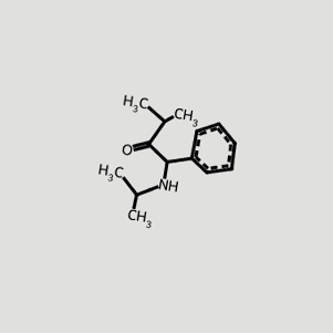 CC(C)NC(C(=O)C(C)C)c1ccccc1